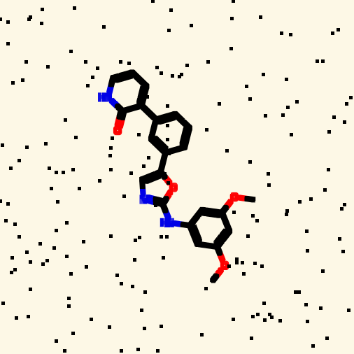 COc1cc(Nc2ncc(-c3cccc(-c4ccc[nH]c4=O)c3)o2)cc(OC)c1